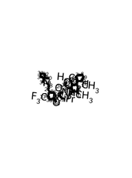 Cc1cc(-c2c(C)cccc2C)c(F)c([C@H](CC(=O)O)NC(=O)C(CC(C)C)n2cc(CCN3CC4(CCC4)C3)c(C(F)(F)F)cc2=O)c1F